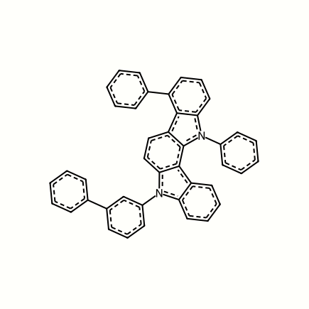 c1ccc(-c2cccc(-n3c4ccccc4c4c3ccc3c5c(-c6ccccc6)cccc5n(-c5ccccc5)c34)c2)cc1